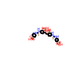 O=S(=O)(O)c1ccc(NC(=S)Nc2ccc(CCc3ccc(NC(=S)Nc4ccc(S(=O)(=O)O)cc4)cc3S(=O)(=O)O)c(S(=O)(=O)O)c2)cc1